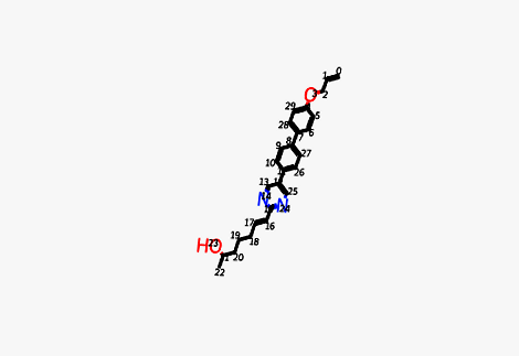 C=CCOc1ccc(-c2ccc(-c3cnc(C=CCCCC(C)O)nc3)cc2)cc1